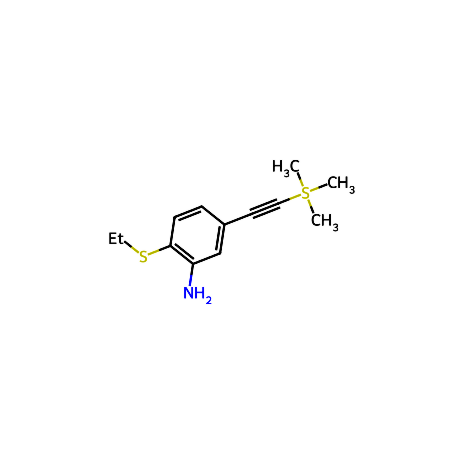 CCSc1ccc(C#CS(C)(C)C)cc1N